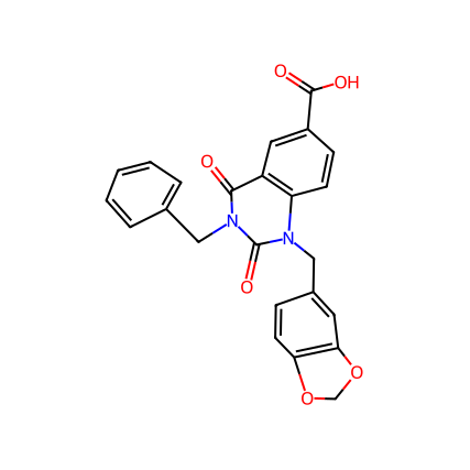 O=C(O)c1ccc2c(c1)c(=O)n(Cc1ccccc1)c(=O)n2Cc1ccc2c(c1)OCO2